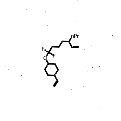 C=CC(CCC)CCCC(F)(F)OC1CCC(C=C)CC1